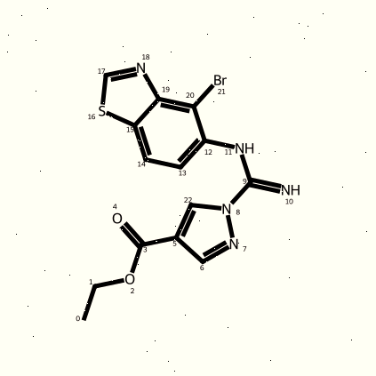 CCOC(=O)c1cnn(C(=N)Nc2ccc3scnc3c2Br)c1